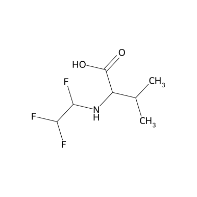 CC(C)C(NC(F)C(F)F)C(=O)O